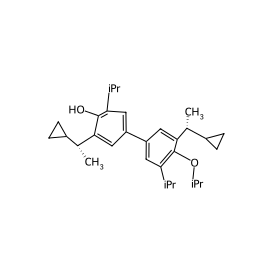 CC(C)Oc1c(C(C)C)cc(-c2cc(C(C)C)c(O)c([C@H](C)C3CC3)c2)cc1[C@H](C)C1CC1